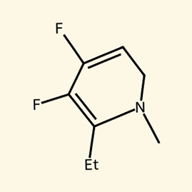 CCC1=C(F)C(F)=CCN1C